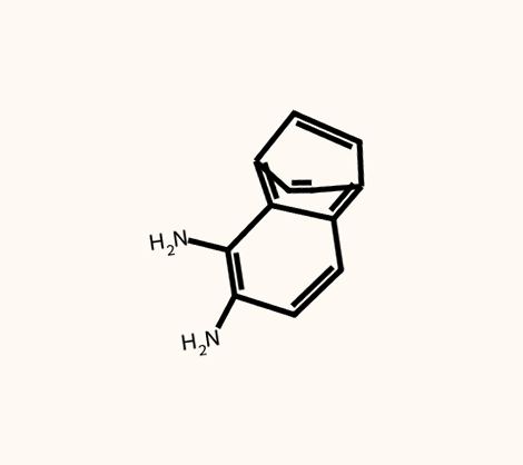 Nc1ccc2c3ccc(cc3)c2c1N